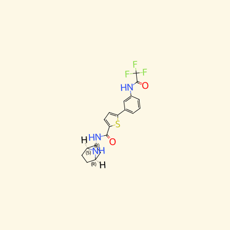 O=C(N[C@@H]1C[C@H]2CC[C@@H]1N2)c1ccc(-c2cccc(NC(=O)C(F)(F)F)c2)s1